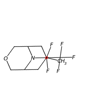 CC1CC2COCC(C1)N2C(F)(F)C(F)(F)F